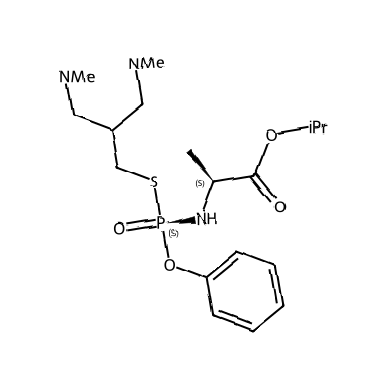 CNCC(CNC)CS[P@](=O)(N[C@@H](C)C(=O)OC(C)C)Oc1ccccc1